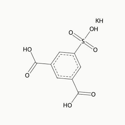 O=C(O)c1cc(C(=O)O)cc(S(=O)(=O)O)c1.[KH]